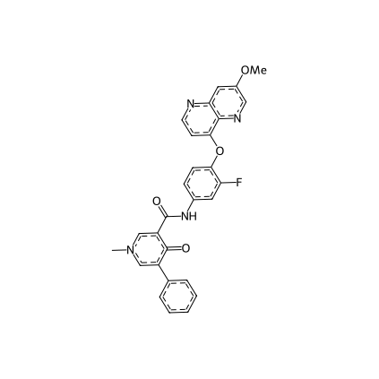 COc1cnc2c(Oc3ccc(NC(=O)c4cn(C)cc(-c5ccccc5)c4=O)cc3F)ccnc2c1